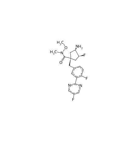 CON(C)C(=O)[C@]1(Cc2ccc(F)c(-c3ncc(F)cn3)c2)C[C@@H](N)[C@@H](F)C1